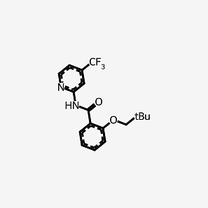 CC(C)(C)COc1ccccc1C(=O)Nc1cc(C(F)(F)F)ccn1